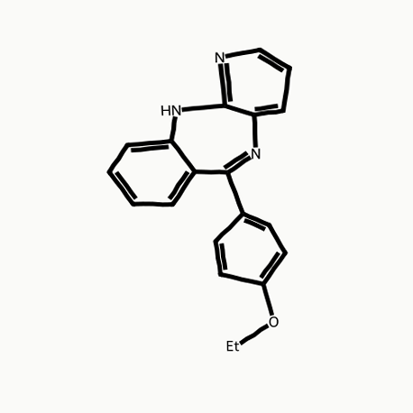 CCOc1ccc(C2=Nc3cccnc3Nc3ccccc32)cc1